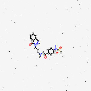 CN(CCCn1ncc2ccccc2c1=O)CC(=O)c1ccc(NS(C)(=O)=O)cc1